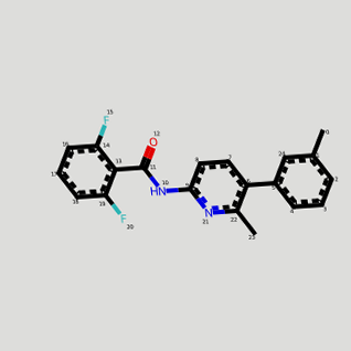 Cc1cccc(-c2ccc(NC(=O)c3c(F)cccc3F)nc2C)c1